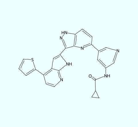 O=C(Nc1cncc(-c2ccc3[nH]nc(-c4cc5c(-c6cccs6)ccnc5[nH]4)c3n2)c1)C1CC1